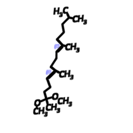 COC(C)(CC/C=C(\C)CC/C=C(\C)CCCC(C)C)OC